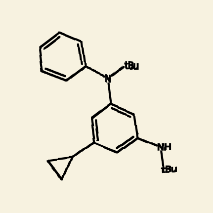 CC(C)(C)Nc1cc(C2CC2)cc(N(c2ccccc2)C(C)(C)C)c1